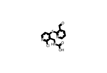 O=Cc1cccnc1Sc1ccnc(Cl)c1CNC(=O)O